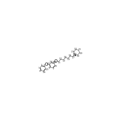 c1ccc(Oc2cccc(OCCCCCCCN3CCCCC3)c2)cc1